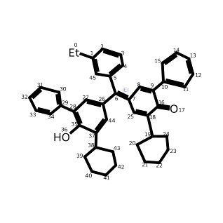 CCc1cccc(/C(=C2\C=C(c3ccccc3)C(=O)C(C3CCCCC3)=C2)c2cc(-c3ccccc3)c(O)c(C3CCCCC3)c2)c1